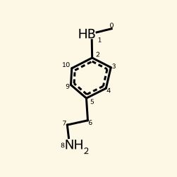 CBc1ccc(CCN)cc1